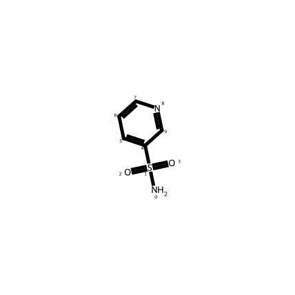 NS(=O)(=O)c1cc[c]nc1